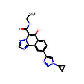 O=C(O)CNC(=O)c1c(O)c2ccc(-c3cn(C4CC4)nn3)cc2c2ncnn12